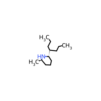 CCCC(CCC)[C@@H]1CCC[C@@H](C)N1